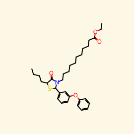 CCCCC1SC(c2cccc(Oc3ccccc3)c2)N(CCCCCCCCCCC(=O)OCC)C1=O